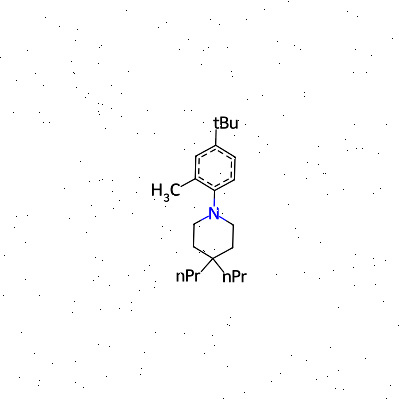 CCCC1(CCC)CCN(c2ccc(C(C)(C)C)cc2C)CC1